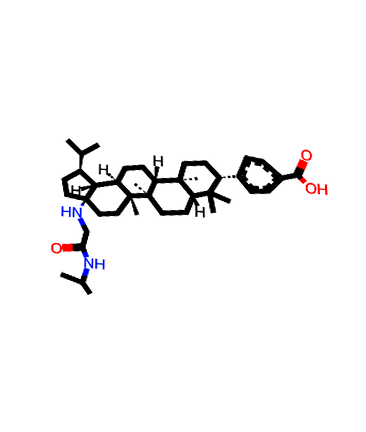 CC(C)NC(=O)CN[C@]12CC[C@@H](C(C)C)[C@@H]1[C@H]1CC[C@@H]3[C@@]4(C)CC[C@H](c5ccc(C(=O)O)cc5)C(C)(C)[C@@H]4CC[C@@]3(C)[C@]1(C)CC2